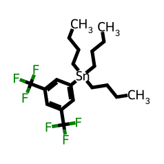 CCC[CH2][Sn]([CH2]CCC)([CH2]CCC)[c]1cc(C(F)(F)F)cc(C(F)(F)F)c1